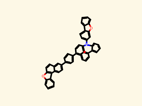 c1ccc(-c2ccccc2N(c2ccc(-c3ccc(-c4ccc5c(ccc6oc7ccccc7c65)c4)cc3)cc2)c2ccc3c(c2)oc2ccccc23)cc1